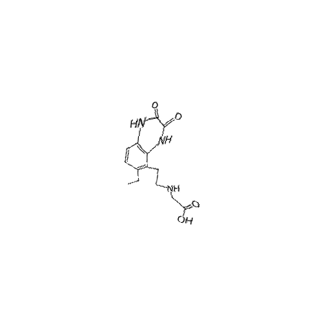 CCc1ccc2[nH]c(=O)c(=O)[nH]c2c1CCNCC(=O)O